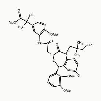 COC(=O)C(C)(C)c1ccc(OC)c(NC(=O)C[C@H]2O[C@H](c3cccc(OC)c3OC)c3cc(Cl)ccc3N(CC(C)(C)COC(C)=O)C2=O)c1